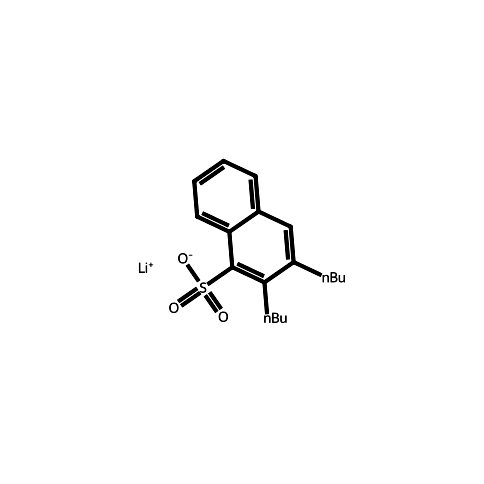 CCCCc1cc2ccccc2c(S(=O)(=O)[O-])c1CCCC.[Li+]